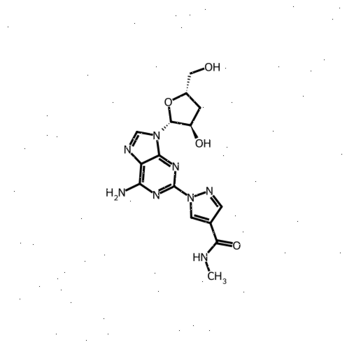 CNC(=O)c1cnn(-c2nc(N)c3ncn([C@@H]4O[C@H](CO)C[C@H]4O)c3n2)c1